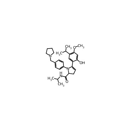 COc1cc(O)c(C2=CCC(C(=O)NC(C)C)N2c2ccc(CN3CCCC3)cc2)cc1C(C)C